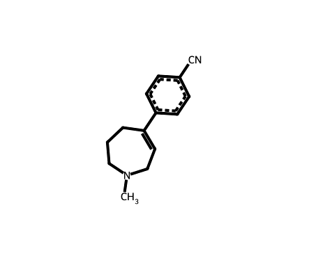 CN1CC=C(c2ccc(C#N)cc2)CCC1